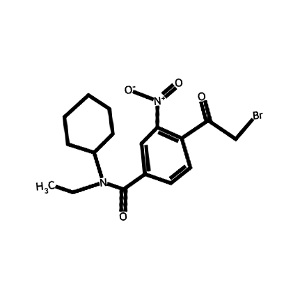 CCN(C(=O)c1ccc(C(=O)CBr)c([N+](=O)[O-])c1)C1CCCCC1